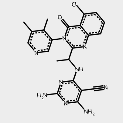 Cc1cncc(-n2c(C(C)Nc3nc(N)nc(N)c3C#N)nc3cccc(Cl)c3c2=O)c1C